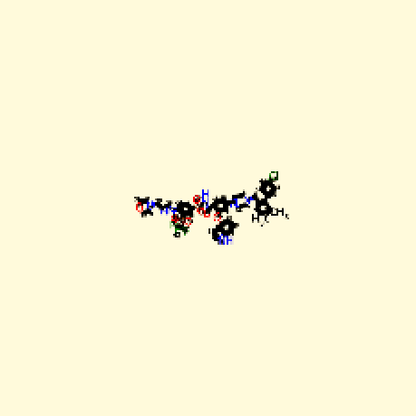 CC1(C)CCC(CN2CCN(c3ccc(C(=O)NS(=O)(=O)c4ccc(NCCCN5CCOCC5)c(S(=O)(=O)C(F)(F)F)c4)c(Oc4cccc5[nH]ccc45)c3)CC2)=C(c2ccc(Cl)cc2)C1